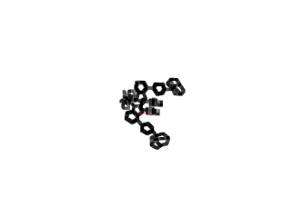 C[SiH](C)[Zr]([Cl])([Cl])([CH]1C(CC(C)(C)C)=Cc2c(-c3ccc(C45CC6CC(CC(C6)C4)C5)cc3)cccc21)[CH]1C(CC(C)(C)C)=Cc2c(-c3ccc(C45CC6CC(CC(C6)C4)C5)cc3)cccc21